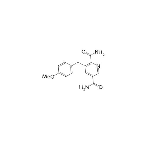 COc1ccc(Cc2cc(C(N)=O)cnc2C(N)=O)cc1